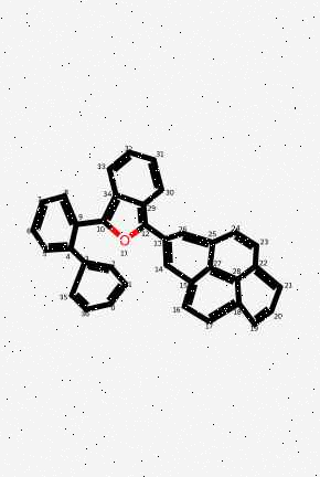 c1ccc(-c2ccccc2-c2oc(-c3cc4ccc5cccc6ccc(c3)c4c56)c3ccccc23)cc1